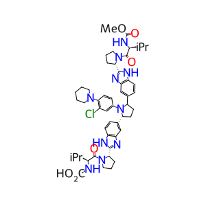 COC(=O)N[C@H](C(=O)N1CCC[C@H]1c1nc2cc(C3CC[C@H](c4ccc5[nH]c([C@@H]6CCCN6C(=O)[C@@H](NC(=O)O)C(C)C)nc5c4)N3c3ccc(N4CCCCC4)c(Cl)c3)ccc2[nH]1)C(C)C